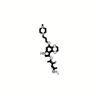 C/C(Oc1c[nH]c2cc(OCCCN3CCN(C)CC3)c3c(c12)OCCO3)=C(F)\C=C(/C)N